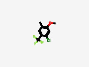 COc1cc(Cl)c(C(F)(F)F)cc1C